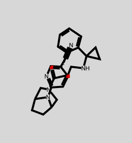 N#Cc1ccc(N2C3CCC2CN(C(=O)CCNC2(c4ccccc4F)CC2)C3)nc1